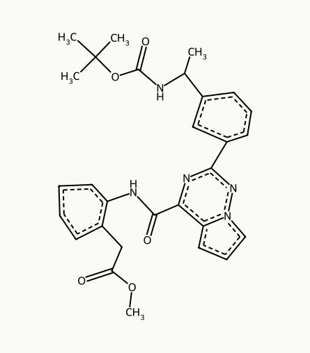 COC(=O)Cc1ccccc1NC(=O)c1nc(-c2cccc(C(C)NC(=O)OC(C)(C)C)c2)nn2cccc12